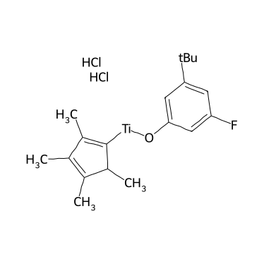 CC1=C(C)C(C)[C]([Ti][O]c2cc(F)cc(C(C)(C)C)c2)=C1C.Cl.Cl